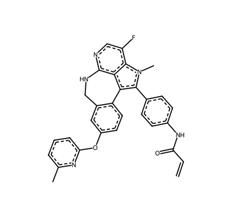 C=CC(=O)Nc1ccc(-c2c3c4c(ncc(F)c4n2C)NCc2cc(Oc4cccc(C)n4)ccc2-3)cc1